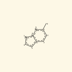 Cc1ccc2ccnn2n1